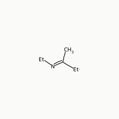 C[CH]C(C)=NCC